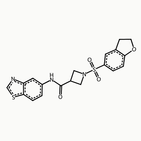 O=C(Nc1ccc2scnc2c1)C1CN(S(=O)(=O)c2ccc3c(c2)CCO3)C1